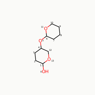 OC1CCC(OC2CCCCO2)CO1